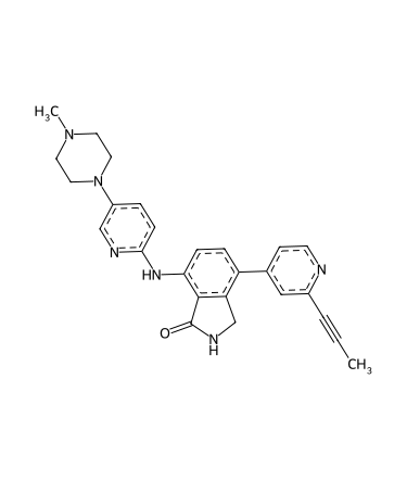 CC#Cc1cc(-c2ccc(Nc3ccc(N4CCN(C)CC4)cn3)c3c2CNC3=O)ccn1